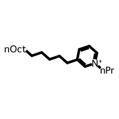 CCCCCCCCCCCCCc1ccc[n+](CCC)c1